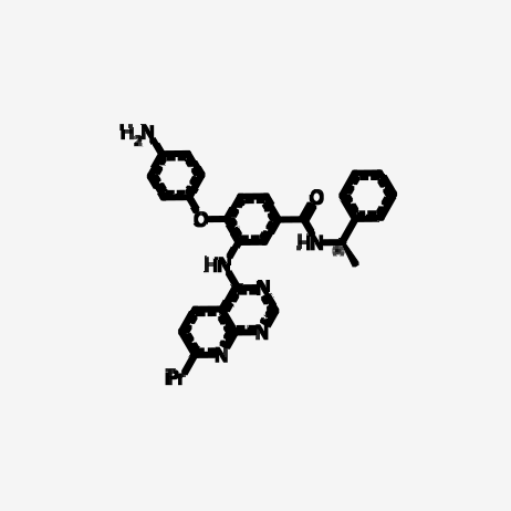 CC(C)c1ccc2c(Nc3cc(C(=O)N[C@H](C)c4ccccc4)ccc3Oc3ccc(N)cc3)ncnc2n1